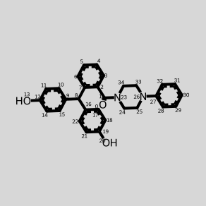 O=C(c1ccccc1C(c1ccc(O)cc1)c1ccc(O)cc1)N1CCN(c2ccccc2)CC1